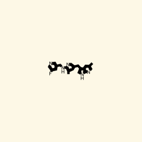 Cc1cnc2[nH]cc(Cc3cnc(NCc4cncc(F)c4)c(C)c3)c2c1